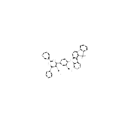 CC1(C)c2ccccc2-c2ccc3c(c21)c1ccccc1n3-c1ccc(-c2nc(-c3ccccc3)nc(-c3ccccc3)c2C#N)cc1C#N